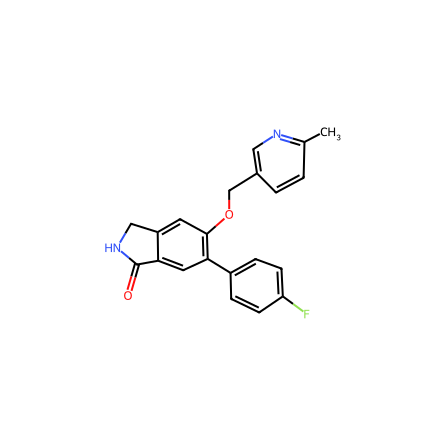 Cc1ccc(COc2cc3c(cc2-c2ccc(F)cc2)C(=O)NC3)cn1